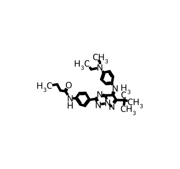 CCCC(=O)Nc1ccc(-c2nc3n(n2)N=C(C(C)(C)C)/C3=N/c2ccc(N(CC)CC)cc2)cc1